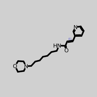 O=C(/C=C/c1cccnc1)NCCCCCCCN1CCOCC1